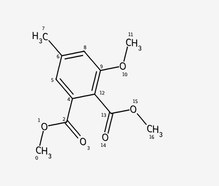 COC(=O)c1cc(C)cc(OC)c1C(=O)OC